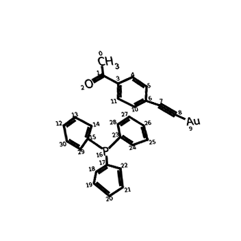 CC(=O)c1ccc(C#[C][Au])cc1.c1ccc(P(c2ccccc2)c2ccccc2)cc1